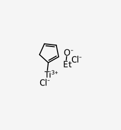 CC[O-].[Cl-].[Cl-].[Ti+3][C]1=CC=CC1